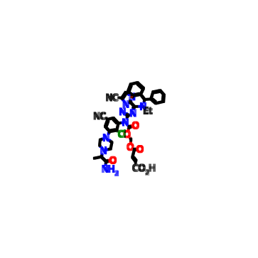 CCN(c1nc(N(C(=O)OCOC(=O)/C=C/C(=O)O)c2cc(C#N)cc(N3CCN(C(C)C(N)=O)CC3)c2Cl)nn2c(C#N)cnc12)C(c1ccccc1)c1ccccc1